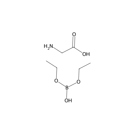 CCOB(O)OCC.NCC(=O)O